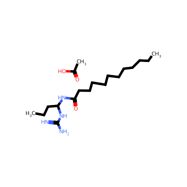 CC(=O)O.CCCCCCCCCCCC(=O)NC(CCC)NC(=N)N